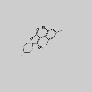 CCc1cc(C)cc(C)c1C1=C(O)[C@]2(CC[C@@H](C)CC2)OC1=O